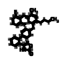 CCCCC1=C(Cc2ccc(-c3ccccc3-c3noc(=O)[nH]3)cc2)CN(Cc2c(F)cccc2F)C(C)=N1